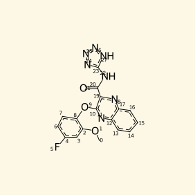 COc1cc(F)ccc1Oc1nc2ccccc2nc1C(=O)Nc1nnn[nH]1